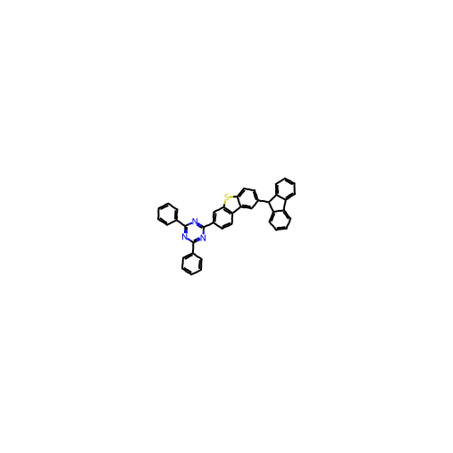 c1ccc(-c2nc(-c3ccccc3)nc(-c3ccc4c(c3)sc3ccc(C5c6ccccc6-c6ccccc65)cc34)n2)cc1